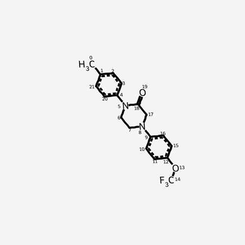 Cc1ccc(N2CCN(c3ccc(OC(F)(F)F)cc3)CC2=O)cc1